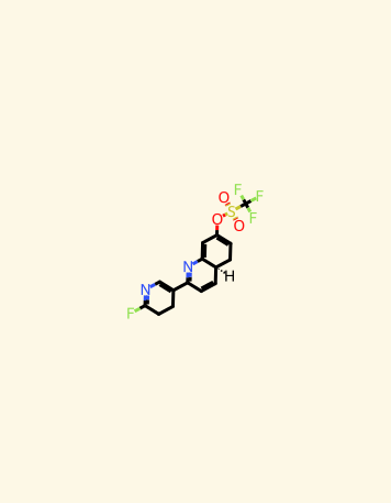 O=S(=O)(OC1=CC[C@H]2C=CC(C3=CN=C(F)CC3)=NC2=C1)C(F)(F)F